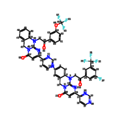 O=C(CN1c2ccccc2Cn2c1nc(-c1ccncn1)cc2=O)c1cc(F)cc(C(F)(F)F)c1.O=C(CN1c2ccccc2Cn2c1nc(-c1ccncn1)cc2=O)c1cccc(OC(F)(F)F)c1